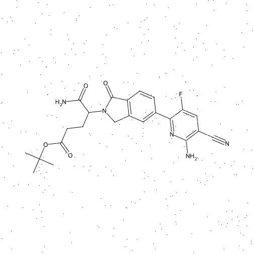 CC(C)(C)OC(=O)CCC(C(N)=O)N1Cc2cc(-c3nc(N)c(C#N)cc3F)ccc2C1=O